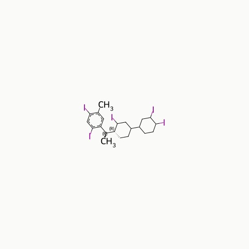 Cc1cc([C@H](C)[C@H]2CCC(C3CCC(I)C(I)C3)CC2I)c(I)cc1I